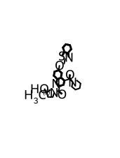 C[C@]1(O)CCN(C(=O)c2cc(C(=O)N3CCCCC3)c3cc(OCc4nc5ccccc5s4)ccc3n2)C1